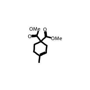 COC(=O)C1(C(=O)OC)CC=C(C)CC1